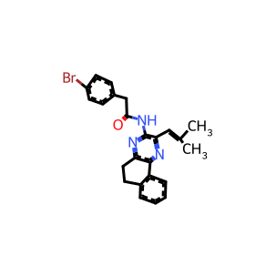 CC(C)=Cc1nc2c(nc1NC(=O)Cc1ccc(Br)cc1)CCc1ccccc1-2